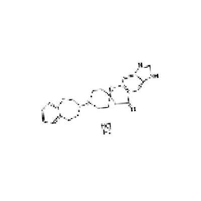 Cl.Cl.O=C1CC2(CCN(C3CCc4ccccc4CC3)CC2)Oc2cc3nc[nH]c3cc21